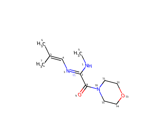 CN/C(=N\C=C(C)C)C(=O)N1CCOCC1